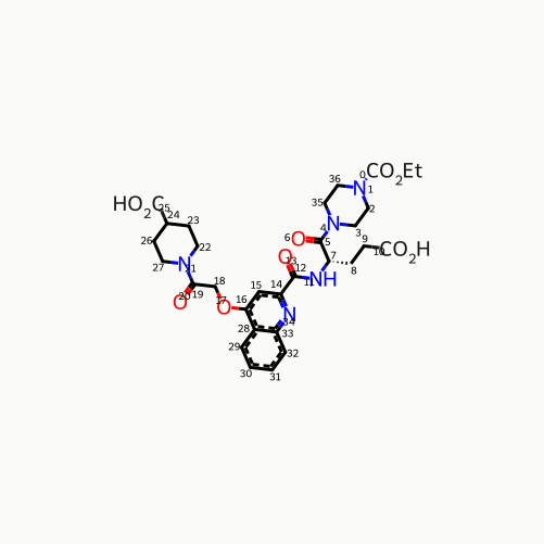 CCOC(=O)N1CCN(C(=O)[C@H](CCC(=O)O)NC(=O)c2cc(OCC(=O)N3CCC(C(=O)O)CC3)c3ccccc3n2)CC1